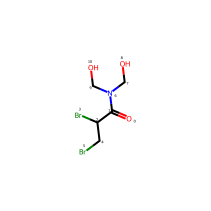 O=C(C(Br)CBr)N(CO)CO